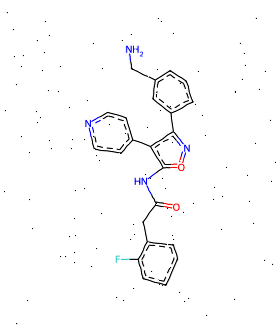 NCc1cccc(-c2noc(NC(=O)Cc3ccccc3F)c2-c2ccncc2)c1